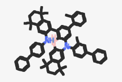 Cc1ccccc1-c1cc(-c2cc3c(cc2Nc2ccc(-c4ccccc4)cc2)C(C)(C)CCC3(C)C)c2c(c1)N(c1ccc(-c3ccccc3)cc1C)c1cc3c(cc1B2)C(C)(C)CCC3(C)C